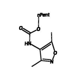 CCCCCOC(=O)Nc1c(C)noc1C